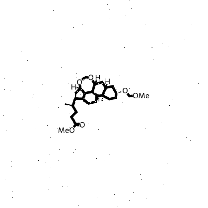 COCO[C@@H]1CC[C@@]2(C)[C@@H](C1)C[C@H]1OCO[C@H]3C[C@H]([C@H](C)CCC(=O)OC)[C@@]4(C)CC[C@H]2C1C34